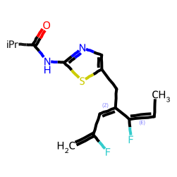 C=C(F)/C=C(Cc1cnc(NC(=O)C(C)C)s1)\C(F)=C/C